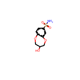 NS(=O)(=O)c1ccc2c(c1)OCC(O)CO2